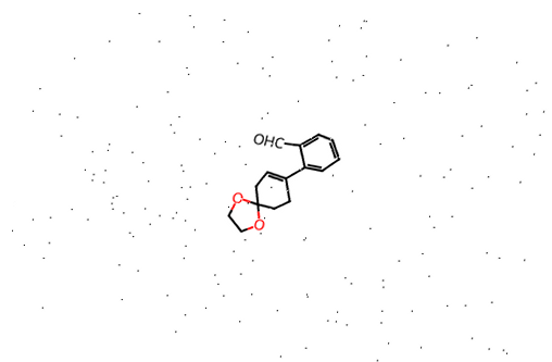 O=Cc1ccccc1C1=CCC2(CC1)OCCO2